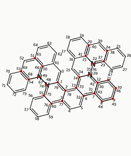 C(=C(c1cccc(-c2ccccc2)c1C(=Cc1ccccc1N(c1ccccc1)c1ccccc1)N(c1ccccc1)c1ccccc1)N(c1ccccc1)c1ccccc1)c1ccccc1N(c1ccccc1)c1ccccc1